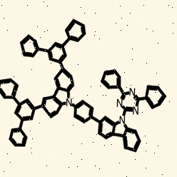 c1ccc(-c2cc(-c3ccccc3)cc(-c3ccc4c(c3)c3cc(-c5cc(-c6ccccc6)cc(-c6ccccc6)c5)ccc3n4-c3ccc(-c4ccc5c6ccccc6n(-c6nc(-c7ccccc7)nc(-c7ccccc7)n6)c5c4)cc3)c2)cc1